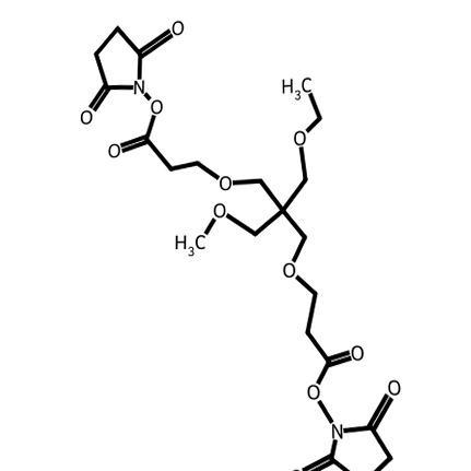 CCOCC(COC)(COCCC(=O)ON1C(=O)CCC1=O)COCCC(=O)ON1C(=O)CCC1=O